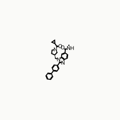 CNC(=O)c1ccc2nc(-c3ccc(-c4ccccc4)cc3)n(C[C@H]3CCN(C(=O)C4CC4)C3)c2c1